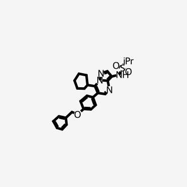 CC(C)S(=O)(=O)Nc1cnn2c(C3CCCCC3)c(-c3ccc(OCc4ccccc4)cc3)cnc12